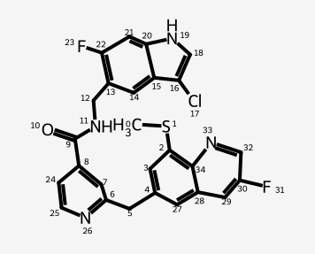 CSc1cc(Cc2cc(C(=O)NCc3cc4c(Cl)c[nH]c4cc3F)ccn2)cc2cc(F)cnc12